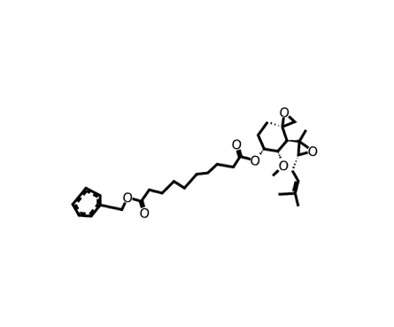 CO[C@H]1[C@H](C2(C)O[C@@H]2CC=C(C)C)[C@]2(CC[C@H]1OC(=O)CCCCCCCCC(=O)OCc1ccccc1)CO2